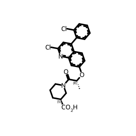 C[C@@H](Oc1ccc2c(-c3ccccc3Cl)cc(Cl)nc2c1)C(=O)N1CCC[C@H](C(=O)O)C1